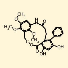 COc1cc2c(OC)c(c1OC)CCOC(=O)c1c(O)cc(O)c(-c3ccccc3)c1CCC(=O)N2